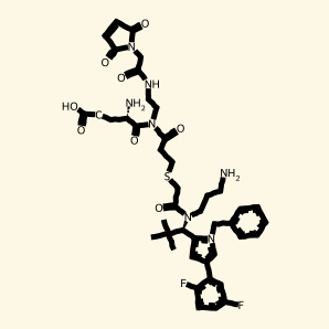 CC(C)(C)[C@H](c1cc(-c2cc(F)ccc2F)cn1Cc1ccccc1)N(CCCN)C(=O)CSCCC(=O)N(CCNC(=O)CN1C(=O)C=CC1=O)C(=O)[C@@H](N)CCC(=O)O